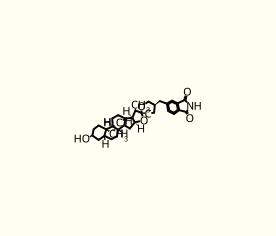 C[C@H]1[C@H]2[C@H](C[C@H]3[C@@H]4CC[C@@H]5C[C@@H](O)CC[C@]5(C)[C@H]4CC[C@]23C)O[C@]12CC[C@H](Cc1ccc3c(c1)C(=O)NC3=O)CO2